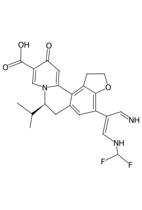 CC(C)[C@@H]1Cc2cc(/C(C=N)=C/NC(F)F)c3c(c2-c2cc(=O)c(C(=O)O)cn21)CCO3